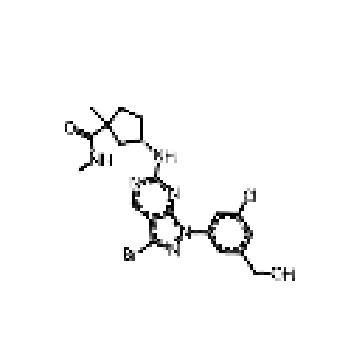 CNC(=O)C1(C)CC[C@@H](Nc2ncc3c(Br)nn(-c4cc(Cl)cc(CO)c4)c3n2)C1